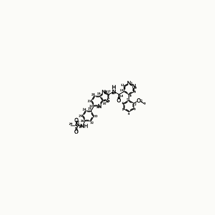 COc1ccccc1-c1cnncc1C(=O)Nc1nc2ccc(-c3ccc(NS(C)(=O)=O)cc3)nc2s1